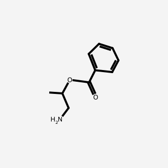 CC(CN)OC(=O)c1ccccc1